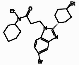 CCN(C(=O)CCn1c2ccc(Br)cc2nc1[C@H]1CC[C@H](CC)CC1)C1CCCCC1